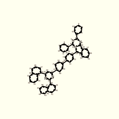 c1ccc(-c2nc(-c3ccccc3)n3c(-c4ccc(-c5ccc(-c6cc(-c7cccc8ccccc78)nc(-c7cccc8ccccc78)n6)cc5)cc4)c4ccccc4c3n2)cc1